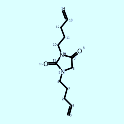 C=CCCCN1CC(=O)N(CCCC=C)C1=O